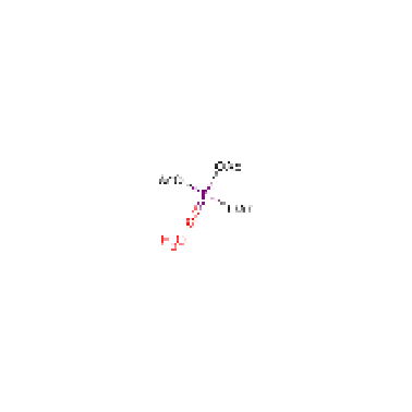 CC(=O)OP(=O)(OC(C)=O)OC(C)=O.O